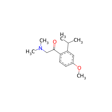 COc1ccc(C(=O)CN(C)C)c(C(C)C)c1